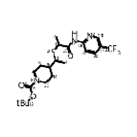 CC(SC(C)C1CCN(C(=O)OC(C)(C)C)CC1)C(=O)Nc1ccc(C(F)(F)F)cn1